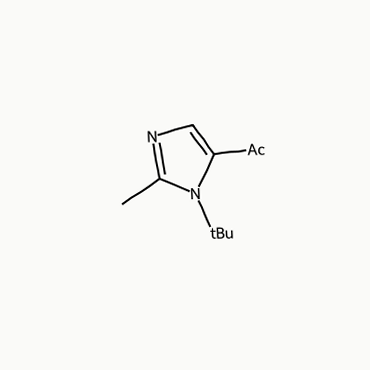 CC(=O)c1cnc(C)n1C(C)(C)C